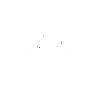 Cc1nc2ccccc2c(CC=O)c1O